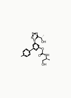 Cc1ccc(-c2cc(OC(=O)N[C@@H](C)CO)cc(-n3nnnc3[C@H](C)O)c2)cc1